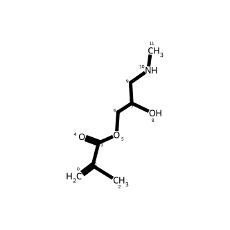 C=C(C)C(=O)OCC(O)CNC